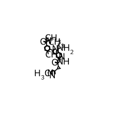 Cc1ccc(C(=O)N(C)C)cc1-c1cc2cc(NC(=O)C3CC3c3cnn(C)c3)ncc2c(N)n1